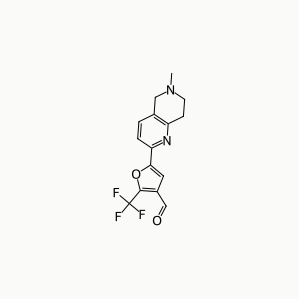 CN1CCc2nc(-c3cc(C=O)c(C(F)(F)F)o3)ccc2C1